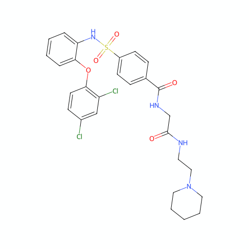 O=C(CNC(=O)c1ccc(S(=O)(=O)Nc2ccccc2Oc2ccc(Cl)cc2Cl)cc1)NCCN1CCCCC1